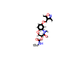 Cc1noc(C)c1COc1ccc2c(c1)N(C)C(=O)[C@@H](OC(=O)NC(C)(C)C)CO2